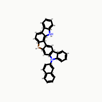 c1ccc2cc(-n3c4ccccc4c4cc5c(cc43)sc3ccc4c6ccccc6[nH]c4c35)ccc2c1